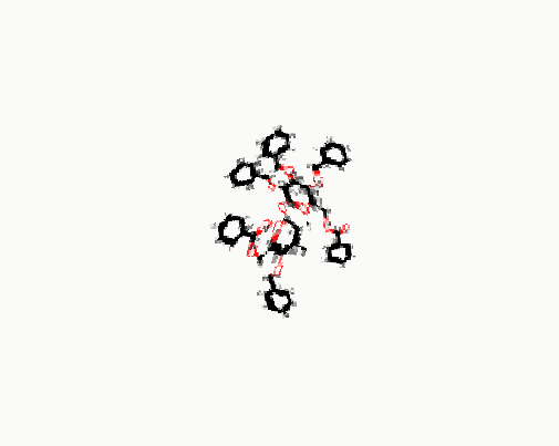 C[C@@H]1[C@@H](C)[C@@H](O[C@H]2O[C@H](COC(=O)c3ccccc3)[C@@H](OCc3ccccc3)[C@H](OCc3ccccc3)[C@H]2OCc2ccccc2)O[C@H](COC(=O)c2ccccc2)[C@H]1OCc1ccccc1